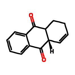 O=C1c2ccccc2C(=O)[C@H]2C=CCCC12